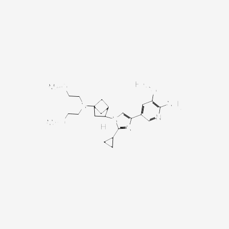 COCCN(CCOC)C12CC(C1)[C@@H](n1cc(-c3cnc(N)c(OC(F)(F)F)c3)nc1C1CC1)C2